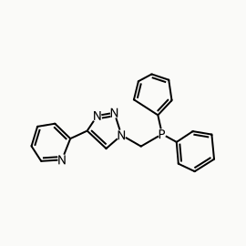 c1ccc(P(Cn2cc(-c3ccccn3)nn2)c2ccccc2)cc1